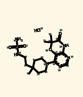 CC1(CCNS(N)(=O)=O)CCN(c2ncnc3c2OC(C)(C)C(=O)N3)CC1.Cl